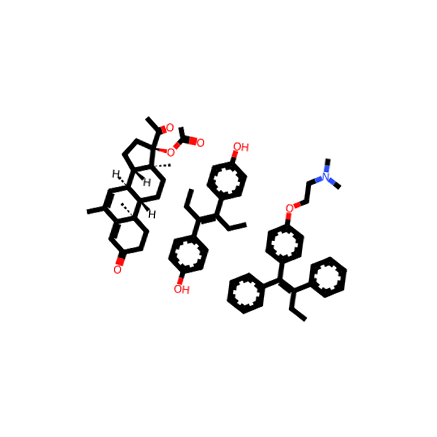 CC(=O)O[C@]1(C(C)=O)CC[C@H]2[C@@H]3C=C(C)C4=CC(=O)CC[C@]4(C)[C@H]3CC[C@@]21C.CC/C(=C(/CC)c1ccc(O)cc1)c1ccc(O)cc1.CC/C(=C(\c1ccccc1)c1ccc(OCCN(C)C)cc1)c1ccccc1